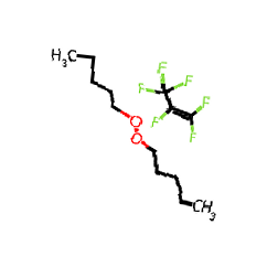 CCCCCOOCCCCC.FC(F)=C(F)C(F)(F)F